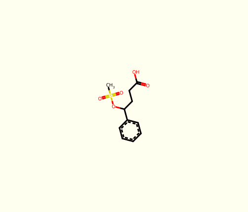 CS(=O)(=O)OC(CCC(=O)O)c1ccccc1